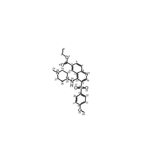 CCOC(=O)c1ccc2ncc(S(=O)(=O)c3ccc(OC)cc3)c(NN3CCN(C)CC3)c2c1